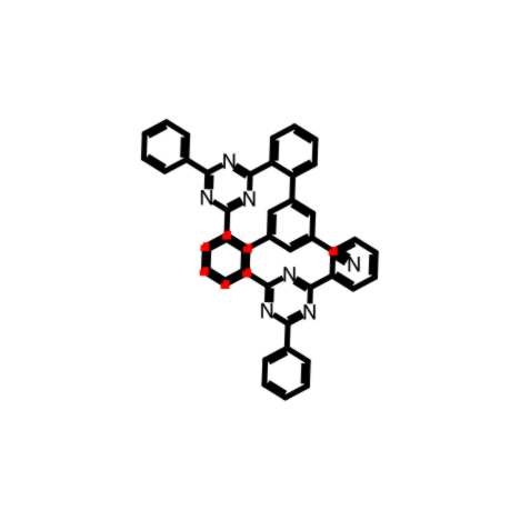 N#Cc1cc(-c2ccccc2-c2nc(-c3ccccc3)nc(-c3ccccc3)n2)cc(-c2ccccc2-c2nc(-c3ccccc3)nc(-c3ccccc3)n2)c1